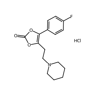 Cl.O=c1oc(CCN2CCCCC2)c(-c2ccc(F)cc2)o1